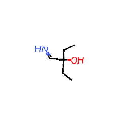 CCC(O)(C=N)CC